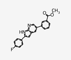 COC(=O)c1cccc(-c2cnc3[nH]c(-c4ccc(F)cc4)cc3c2)c1